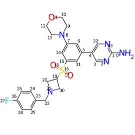 Nc1ncc(-c2cc(N3CCOCC3)cc(S(=O)(=O)C3CN(Cc4ccc(F)cc4)C3)c2)cn1